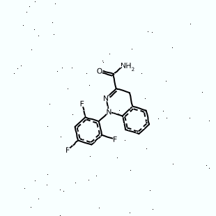 NC(=O)C1=NN(c2c(F)cc(F)cc2F)c2ccccc2C1